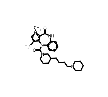 Cc1cn(C)c2c1N(C(=O)N1CCCC(CCCCN3CCCCC3)C1)c1ccccc1NC2=O